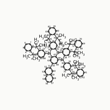 CC1(C)c2ccccc2C(C)(C)c2cc(N3c4cc5c(cc4B4c6cc7c(cc6N(c6ccc8c(c6)C(C)(C)c6ccccc6C8(C)C)c6cc(-c8ccc9ccccc9c8)cc3c64)C(C)(C)c3ccccc3C7(C)C)C(C)(C)c3ccccc3C5(C)C)ccc21